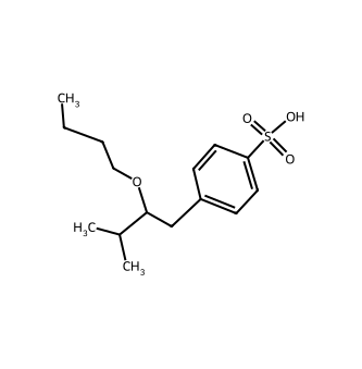 CCCCOC(Cc1ccc(S(=O)(=O)O)cc1)C(C)C